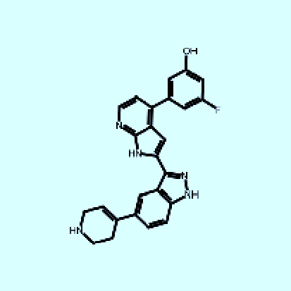 Oc1cc(F)cc(-c2ccnc3[nH]c(-c4n[nH]c5ccc(C6=CCNCC6)cc45)cc23)c1